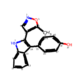 Cc1oncc1-c1[nH]c2ccccc2c1-c1ccc(O)cc1